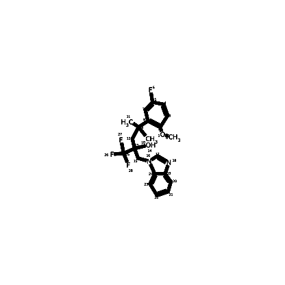 COc1ccc(F)cc1C(C)(C)CC(O)(Cn1cnc2ccccc21)C(F)(F)F